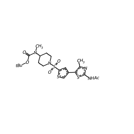 CC(=O)Nc1nc(C)c(-c2csc(S(=O)(=O)N3CCC(N(C)C(=O)OC(C)(C)C)CC3)c2)s1